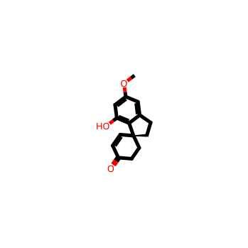 COc1cc(O)c2c(c1)CC[C@@]21C=CC(=O)CC1